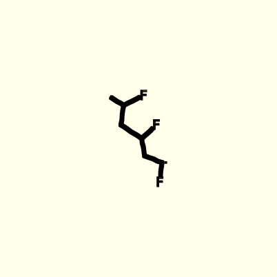 CC(F)CC(F)C[CH]F